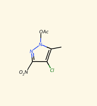 CC(=O)On1nc([N+](=O)[O-])c(Cl)c1C